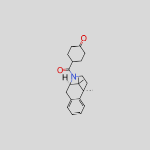 CC1(C)[C@H]2Cc3ccccc3[C@]1(C)CCN2C(=O)C1CCC(=O)CC1